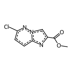 COC(=O)c1cn2nc(Cl)ccc2n1